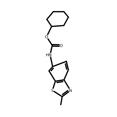 Cc1nc2ccc(NC(=O)OC3CCCCC3)cc2s1